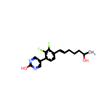 CC(O)CCCC=Cc1ccc(-c2cnc(O)nc2)c(F)c1F